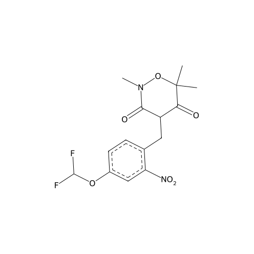 CN1OC(C)(C)C(=O)C(Cc2ccc(OC(F)F)cc2[N+](=O)[O-])C1=O